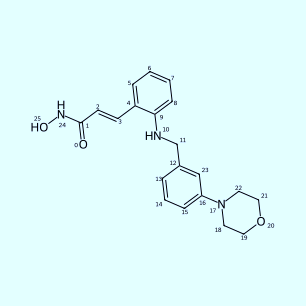 O=C(C=Cc1ccccc1NCc1cccc(N2CCOCC2)c1)NO